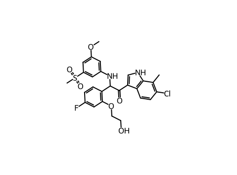 COc1cc(NC(C(=O)c2c[nH]c3c(C)c(Cl)ccc23)c2ccc(F)cc2OCCO)cc(S(C)(=O)=O)c1